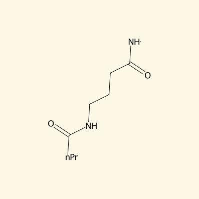 CCCC(=O)NCCCC([NH])=O